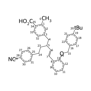 Cc1cc(CC(/C=C/c2ccccc2OCc2ccc(C(C)(C)C)cc2)CCc2ccc(C#N)cc2)ccc1C(=O)O